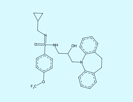 O=S(=NCC1CC1)(NCC(O)CN1c2ccccc2CCc2ccccc21)c1ccc(OC(F)(F)F)cc1